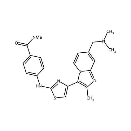 CNC(=O)c1ccc(Nc2nc(-c3c(C)nc4cc(CN(C)C)ccn34)cs2)cc1